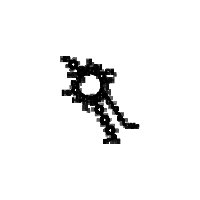 CCCCCOc1ccc(-c2ccc(-c3ccc(C(=O)N[C@@H]4C(=O)NC([C@@H](C)O)C(=O)N5C[C@H](O)CC5C(=O)NC([C@H](O)[C@@H](O)c5ccc(O)cc5)C(=O)NC([C@@H](C)O)C(=O)N5C[C@H](C)[C@H](O)C5C(=O)NC(NCCOCCOCCOCCOC)[C@@H]4O)cc3)cc2)cc1